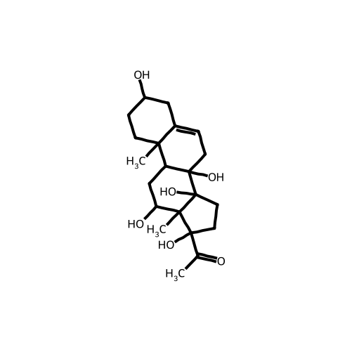 CC(=O)C1(O)CCC2(O)C3(O)CC=C4CC(O)CCC4(C)C3CC(O)C12C